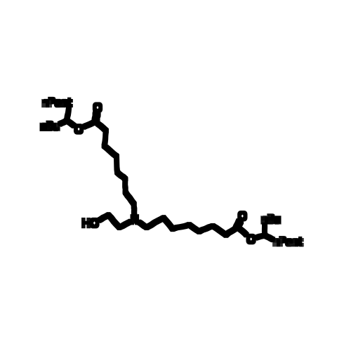 CCCCCC(CCCC)OC(=O)CCCCCCCN(CCO)CCCCCCCC(=O)OC(CCCC)CCCCC